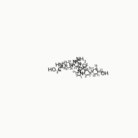 Cc1ccn(-c2ccc(-c3ccc(CO)c(C)c3)cc2C(Oc2cc(N3CCC4(CC3)CNC(C(=O)O)C4)nc(N)n2)C(F)(F)F)n1